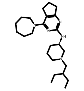 CCC(CC)CN1CCC[C@@H](Nc2nc3c(c(N4CCCCCC4)n2)CCC3)C1